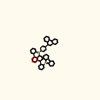 C1=CC(N(c2ccccc2-c2ccccc2)c2ccc(-c3ccccc3-n3c4ccccc4c4ccccc43)c3ccccc23)CC=C1c1cc2ccccc2c2ccccc12